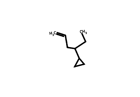 C=CCC(CC)C1CC1